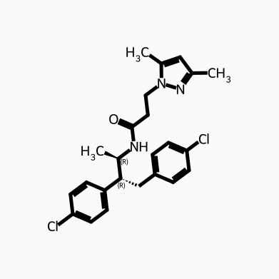 Cc1cc(C)n(CCC(=O)N[C@H](C)[C@H](Cc2ccc(Cl)cc2)c2ccc(Cl)cc2)n1